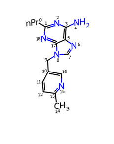 CCCc1nc(N)c2ncn(Cc3ccc(C)nc3)c2n1